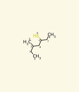 CCC(C)CC(S)CC